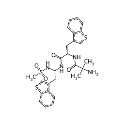 CC(C)(N)C(=O)N[C@H](Cc1csc2ccccc12)C(=O)N[C@H](Cc1csc2ccccc12)NS(C)(=O)=O